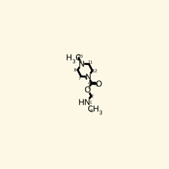 CNCOC(=O)N1CCN(C)CC1